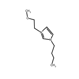 CCCCn1cc[n+](CCOC)c1